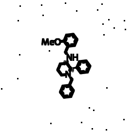 COc1ccccc1CN[C@H]1CCCN(Cc2ccccc2)[C@H]1c1ccccc1